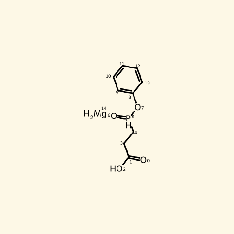 O=C(O)CC[PH](=O)Oc1ccccc1.[MgH2]